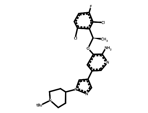 C[C@@H](Oc1cc(-c2cnn(C3CCN(C(C)(C)C)CC3)c2)cnc1N)c1c(Cl)ccc(F)c1Cl